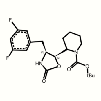 CC(C)(C)OC(=O)N1CCCCC1[C@H]1OC(=O)N[C@H]1Cc1cc(F)cc(F)c1